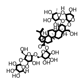 C=C(C)C1CCC2(C(=O)O[C@@H]3O[C@H](CO[C@@H]4O[C@H](CO)[C@@H](O[C@@H]5O[C@@H](C)[C@H](O)[C@@H](O)[C@H]5O)[C@H](O)[C@H]4O)[C@@H](O)[C@H](O)[C@H]3O)CC[C@]3(C)[C@H](CC[C@@H]4[C@@]5(C)CC[C@H](OC6OC[C@H](O)[C@H](O)[C@H]6O[C@@H]6O[C@@H](C)[C@H](O)[C@@H](O)[C@H]6O)[C@@](C)(CO)[C@@H]5CC[C@]43C)[C@@H]12